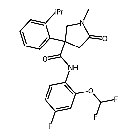 CC(C)c1ccccc1C1(C(=O)Nc2ccc(F)cc2OC(F)F)CC(=O)N(C)C1